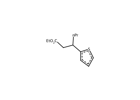 CCCC(CC(=O)OCC)c1cccs1